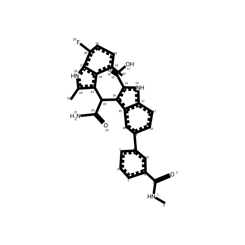 CNC(=O)c1cccc(-c2ccc3[nH]c(C(=O)O)c(C(C(N)=O)c4c(C)[nH]c5c(F)ccc(C)c45)c3c2)c1